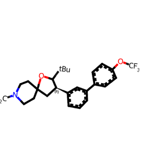 CC(C)(C)C1OC2(CCN(C(=O)O)CC2)C[C@@H]1c1cccc(-c2ccc(OC(F)(F)F)cc2)c1